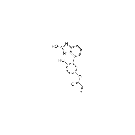 C=CC(=O)Oc1ccc(O)c(-c2cccc3nn(O)nc23)c1